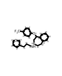 FC(F)(F)c1ccc(OC2CN(NCCc3ccccc3)CCc3ccccc32)cc1